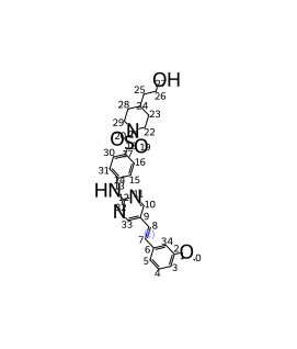 COc1cccc(/C=C/c2cnc(Nc3ccc(S(=O)(=O)N4CCC(CCO)CC4)cc3)nc2)c1